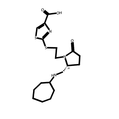 O=C(O)c1csc(SCCN2C(=O)CC[C@@H]2CNC2CCCCCC2)n1